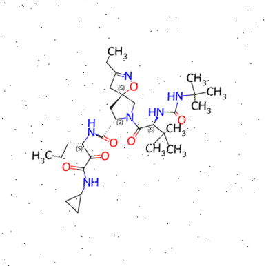 CCC[C@H](NC(=O)[C@@H]1C[C@]2(CC(CC)=NO2)CN1C(=O)[C@@H](NC(=O)NC(C)(C)C)C(C)(C)C)C(=O)C(=O)NC1CC1